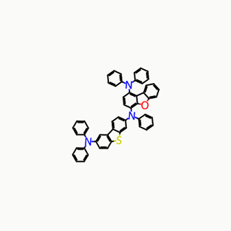 c1ccc(N(c2ccccc2)c2ccc3sc4cc(N(c5ccccc5)c5ccc(N(c6ccccc6)c6ccccc6)c6c5oc5ccccc56)ccc4c3c2)cc1